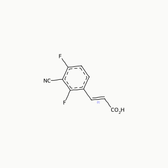 N#Cc1c(F)ccc(/C=C/C(=O)O)c1F